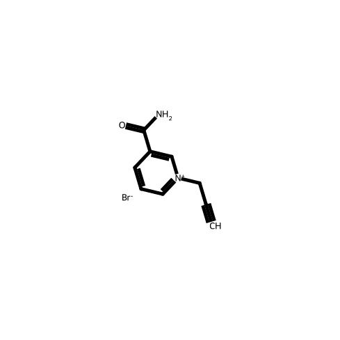 C#CC[n+]1cccc(C(N)=O)c1.[Br-]